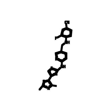 Cc1nc(C)c(-c2csc(Nc3ccc(CNc4ccc(C#N)cc4F)cn3)n2)s1